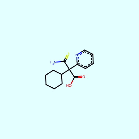 NC(=S)C(C(=O)O)(c1ccccn1)C1CCCCC1